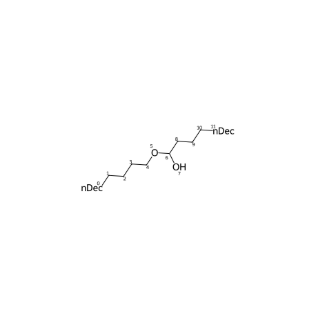 CCCCCCCCCCCCCCOC(O)CCCCCCCCCCCCC